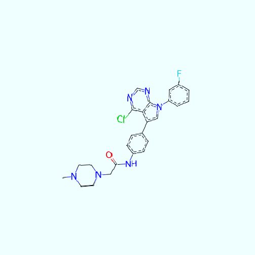 CN1CCN(CC(=O)Nc2ccc(-c3cn(-c4cccc(F)c4)c4ncnc(Cl)c34)cc2)CC1